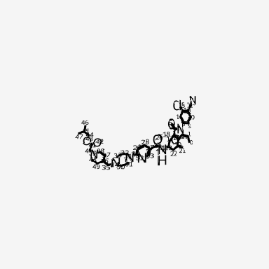 C/C=C1\C2C(C(=O)N1c1ccc(C#N)c(Cl)c1)[C@@]1(C)OC2(C)CC1NC(=O)c1ccc(N2CCN(CC3CCN(CC(=O)OCC(C)C)CC3)CC2)nc1